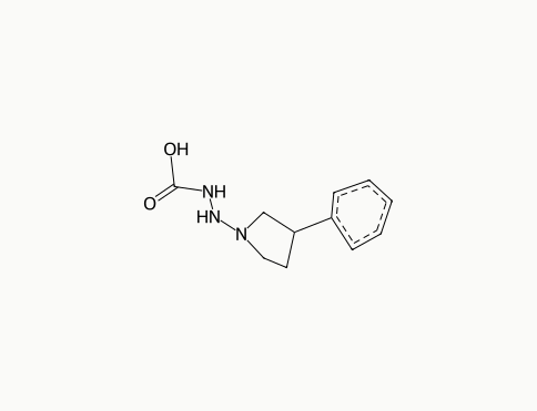 O=C(O)NNN1CCC(c2ccccc2)C1